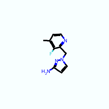 Cc1ccnc(Cn2ccc(N)n2)c1F